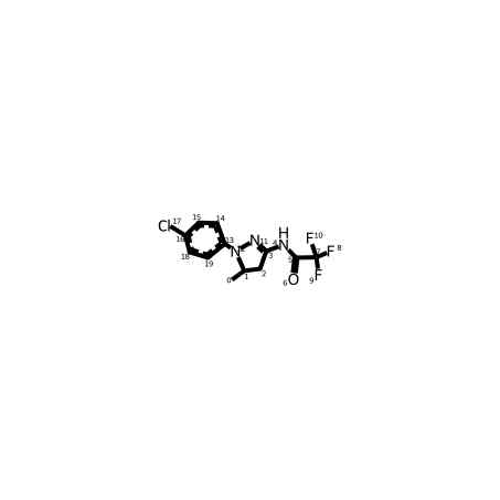 CC1CC(NC(=O)C(F)(F)F)=NN1c1ccc(Cl)cc1